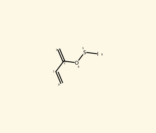 C=CC(=C)OSI